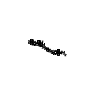 CC1(C)OCc2cc([C@@H](O)CNCCCCCCOCCCCc3ccc(S(N)(=O)=O)cc3)ccc2O1